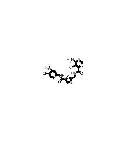 Nc1ncnc(C(=O)NCc2ncc(C(=O)Nc3cc(C(F)(F)F)c(Cl)cn3)s2)c1Cl